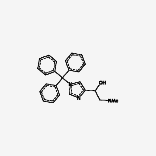 CNCC(O)c1cn(C(c2ccccc2)(c2ccccc2)c2ccccc2)cn1